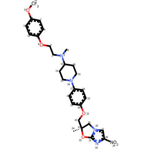 CN(CCOc1ccc(OC(F)(F)F)cc1)C1CCN(c2ccc(OC[C@@]3(C)Cn4cc([N+](=O)[O-])nc4O3)cc2)CC1